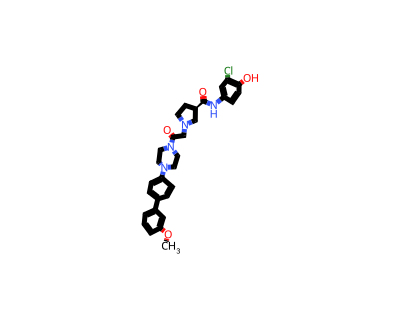 COc1cccc(-c2ccc(N3CCN(C(=O)CN4CC[C@@H](C(=O)Nc5ccc(O)c(Cl)c5)C4)CC3)cc2)c1